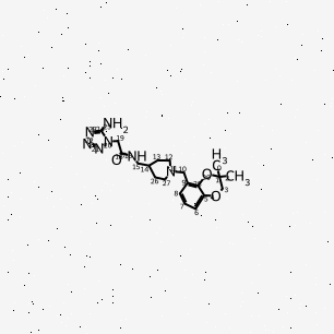 CC1(C)COc2cccc(CN3CCC(CNC(=O)Cn4nnnc4N)CC3)c2O1